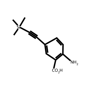 C[Si](C)(C)C#Cc1ccc(N)c(C(=O)O)c1